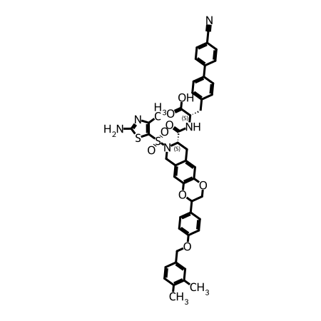 Cc1ccc(COc2ccc(C3COc4cc5c(cc4O3)CN(S(=O)(=O)c3sc(N)nc3C)[C@H](C(=O)N[C@@H](Cc3ccc(-c4ccc(C#N)cc4)cc3)C(=O)O)C5)cc2)cc1C